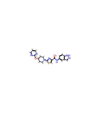 O=C(Nc1ccc2[nH]ncc2c1)c1csc(N2CCC(Oc3ncccn3)CC2)n1